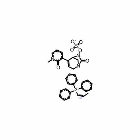 C/C=C\[P+](c1ccccc1)(c1ccccc1)c1ccccc1.Cn1cccc(C2=CCN3CC2N(OS(=O)(=O)[O-])C3=O)c1=O